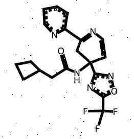 O=C(CC1CCC1)NC1(c2noc(C(F)(F)F)n2)C=CN=C(c2ccccn2)C1